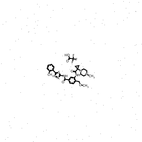 COCc1ccc(C(=O)Nc2nnc(-c3ccccc3C)s2)cc1NC(=O)C1(N2CCN(C)CC2)CC1.O=C(O)C(F)(F)F